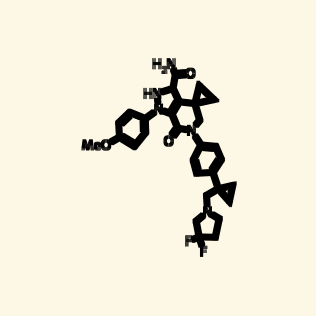 COc1ccc(N2NC(C(N)=O)C3=C2C(=O)N(c2ccc(C4(CN5CCC(F)(F)C5)CC4)cc2)CC32CC2)cc1